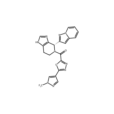 O=C(c1nnc(-c2cnn(C(F)(F)F)c2)o1)N1CCc2[nH]cnc2[C@@H]1c1cc2ccccn2n1